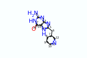 Nc1nc2nc(Cc3cccnc3)[nH]c2c(=O)[nH]1